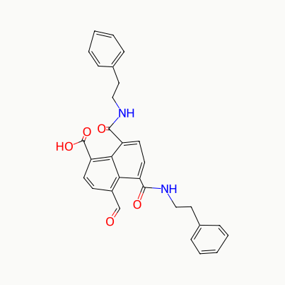 O=Cc1ccc(C(=O)O)c2c(C(=O)NCCc3ccccc3)ccc(C(=O)NCCc3ccccc3)c12